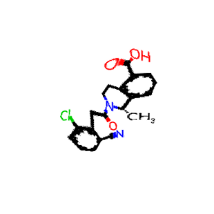 C[C@H]1c2cccc(C(=O)O)c2CCN1C(=O)Cc1c(Cl)cccc1C#N